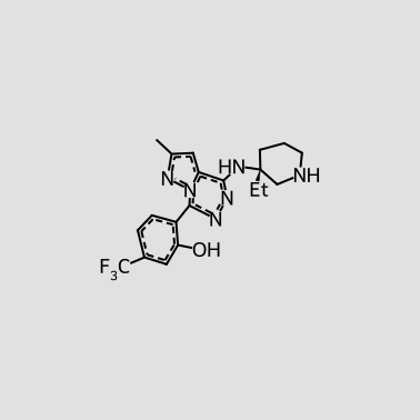 CC[C@@]1(Nc2nnc(-c3ccc(C(F)(F)F)cc3O)n3nc(C)cc23)CCCNC1